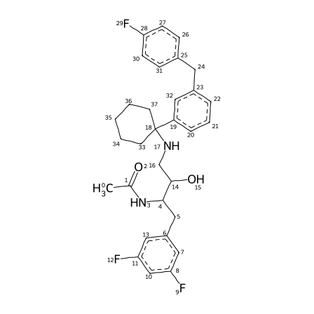 CC(=O)NC(Cc1cc(F)cc(F)c1)C(O)CNC1(c2cccc(Cc3ccc(F)cc3)c2)CCCCC1